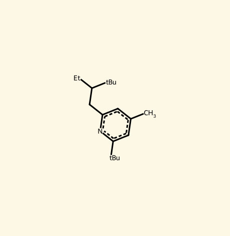 CCC(Cc1cc(C)cc(C(C)(C)C)n1)C(C)(C)C